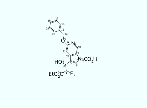 CCOC(=O)C(F)C(O)c1cn(C(=O)O)c2cnc(OCc3ccccc3)cc12